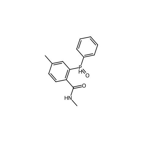 CNC(=O)c1ccc(C)cc1[PH](=O)c1ccccc1